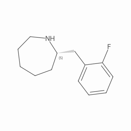 Fc1ccccc1C[C@@H]1CCCCCN1